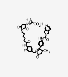 CC1CC(=O)N(Cc2ccc(NC(=O)CCCCCN3C(=O)CC(SCC(N)C(=O)O)C3=O)c(F)c2)N=C1c1ccc(NC(=O)N2Cc3ccncc3C2)cc1